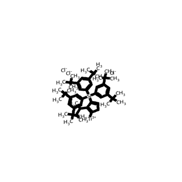 CCC(C)C1=[C]([Ti+3])CC=C1[Si](c1cc(C(C)(C)C)cc(C(C)(C)C)c1)(c1cc(C(C)(C)C)cc(C(C)(C)C)c1)c1cc(C(C)(C)C)cc(C(C)(C)C)c1.[Cl-].[Cl-].[Cl-]